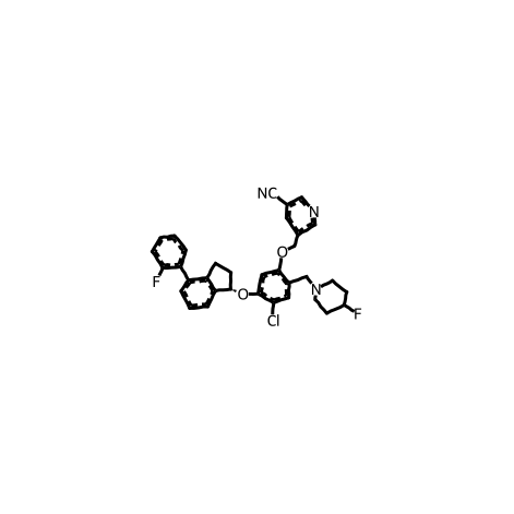 N#Cc1cncc(COc2cc(O[C@H]3CCc4c(-c5ccccc5F)cccc43)c(Cl)cc2CN2CCC(F)CC2)c1